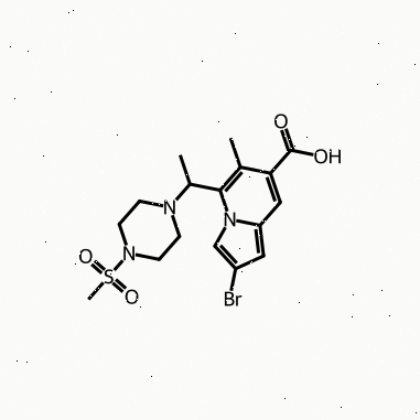 Cc1c(C(=O)O)cc2cc(Br)cn2c1C(C)N1CCN(S(C)(=O)=O)CC1